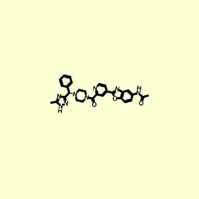 CC(=O)Nc1ccc2oc(-c3ccnc(C(=O)N4CCN([C@@H](c5ccccc5)c5n[nH]c(C)n5)CC4)c3)nc2c1